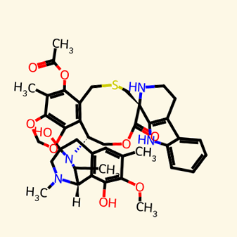 COc1c(C)cc2c(c1O)[C@H]1C(C)N([C@H]3COC(=O)[C@]4(CSCc5c(OC(C)=O)c(C)c6c(c53)OCO6)NCCc3c4[nH]c4ccccc34)C(O)(C2)CN1C